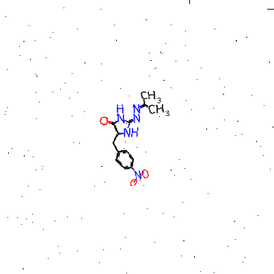 CC(C)=N/N=C1\NC(=O)C(Cc2ccc([N+](=O)[O-])cc2)N1